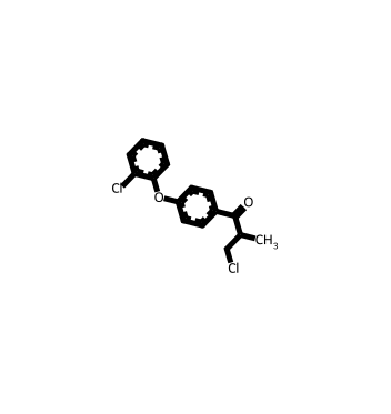 CC(CCl)C(=O)c1ccc(Oc2ccccc2Cl)cc1